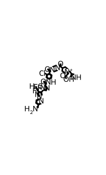 Cn1c(-c2cn(-c3ccc(CN)cn3)nc2C(F)(F)F)cnc1C(=O)Nc1ccc(C(=O)N2CCN(C(=O)C3CC[N+](CC(=O)O)(CC4CNC4)CC3)CC2)c(Cl)c1